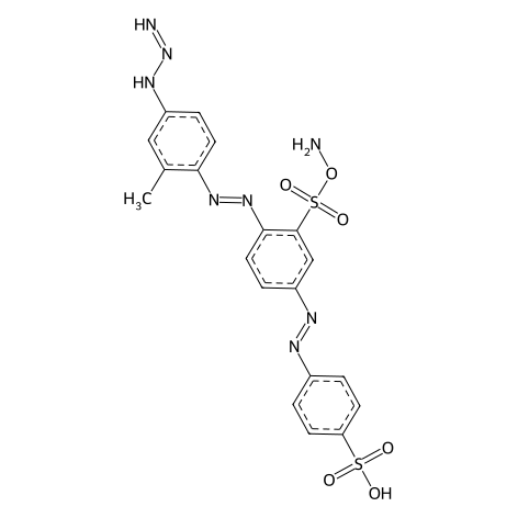 Cc1cc(NN=N)ccc1N=Nc1ccc(N=Nc2ccc(S(=O)(=O)O)cc2)cc1S(=O)(=O)ON